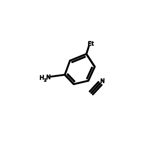 C#N.CCc1cccc(N)c1